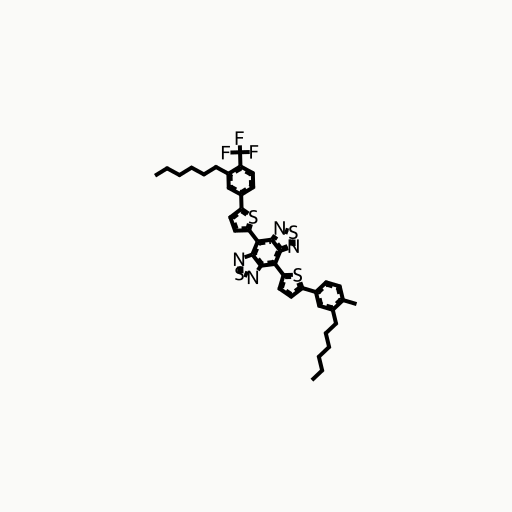 CCCCCCc1cc(-c2ccc(-c3c4c(c(-c5ccc(-c6ccc(C(F)(F)F)c(CCCCCC)c6)s5)c5nsnc35)N=S=N4)s2)ccc1C